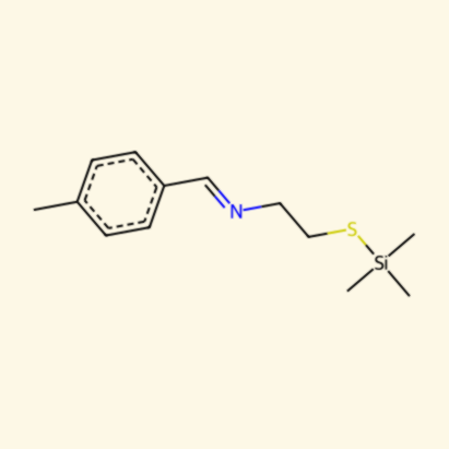 Cc1ccc(C=NCCS[Si](C)(C)C)cc1